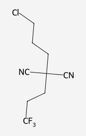 N#CC(C#N)(CCCCl)CCC(F)(F)F